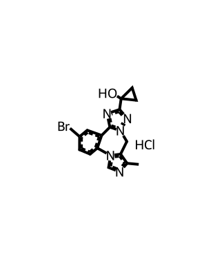 Cc1ncn2c1Cn1nc(C3(O)CC3)nc1-c1cc(Br)ccc1-2.Cl